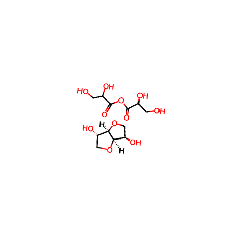 O=C(OC(=O)C(O)CO)C(O)CO.O[C@@H]1CO[C@H]2[C@@H]1OC[C@@H]2O